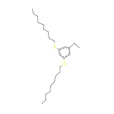 CCCCCCCCCSc1cc(CC)cc(SCCCCCCCCC)c1